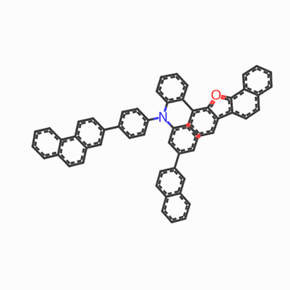 c1cc(-c2ccc3ccccc3c2)cc(N(c2ccc(-c3ccc4c(ccc5ccccc54)c3)cc2)c2ccccc2-c2cccc3c2oc2c4ccccc4ccc32)c1